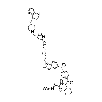 CN[C@@H](C)C(=O)NC(C(=O)N1CCN(C(=O)c2ccc3c(c2)cc(C)n3CCOCCOc2cc(CN3CCC(Oc4ccnc5ccsc45)CC3)on2)CC1)C1CCCCC1